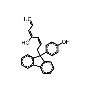 C=C/C=C(O)\C=C/CC1(c2ccc(O)cc2)c2ccccc2-c2ccccc21